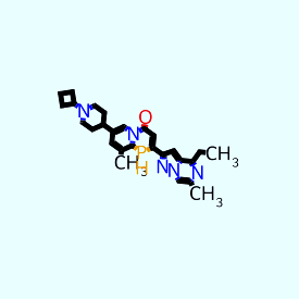 CCc1nc(C)cn2nc(C3=CC(=O)N4C=C(C5CCN(C6CCC6)CC5)C=C(C)C4P3)cc12